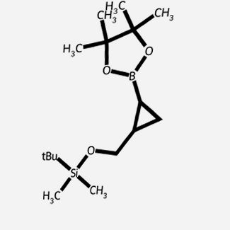 CC1(C)OB(C2CC2CO[Si](C)(C)C(C)(C)C)OC1(C)C